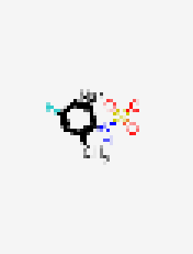 Cc1cc(F)ccc1NS(=O)(=O)[O-].[Na+]